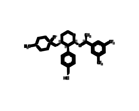 C[C@@H](O[C@H]1OCC[C@@H](C[N+]2([O-])CCN(C)CC2)[C@@H]1c1ccc(F)cc1)c1cc(C(F)(F)F)cc(C(F)(F)F)c1.Cl